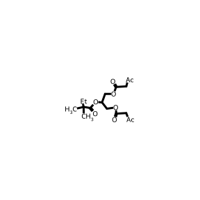 CCC(C)(C)C(=O)OC(COC(=O)CC(C)=O)COC(=O)CC(C)=O